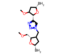 B[C@H]1CC(OC)[C@@H](c2cn(CC3C[C@H](B)O[C@@H]3COC)nn2)O1